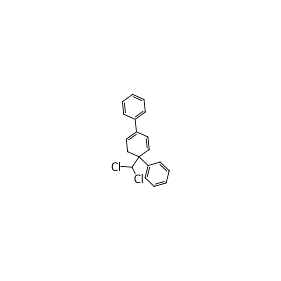 ClC(Cl)C1(c2ccccc2)C=CC(c2ccccc2)=CC1